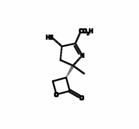 CC1([C@H]2COC2=O)CC(S)C(C(=O)O)=N1